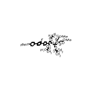 C=C(C)C(=O)OCC(COC(=O)CC(=O)OC)(COC(=O)CC(=O)OC)COc1cc(OC(=O)C(=C)C)c(-c2ccc(-c3ccc(C4CCC(CCCCC)CC4)cc3F)cc2)cc1OC(=O)C(=C)C